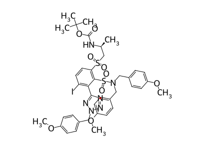 COc1ccc(CN(Cc2ccc(OC)cc2)S(=O)(=O)c2c(S(=O)(=O)C[C@H](C)NC(=O)OC(C)(C)C)ccc(I)c2-c2nnn(Cc3ccc(OC)cc3)n2)cc1